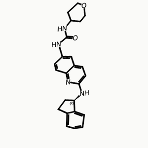 O=C(Nc1ccc2nc(N[C@@H]3CCc4ccccc43)ccc2c1)NC1CCOCC1